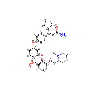 Cc1cc(OCC2CCCCN2C)c2oc3cc(Oc4ccc(C(CC(N)=O)C5CCCC5)nc4)ccc3c(=O)c2c1